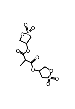 CC(C(=O)OC1COS(=O)(=O)C1)C(=O)OC1COS(=O)(=O)C1